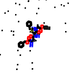 C[C@H](NC(=O)OCc1ccccc1)C(=O)N[C@@H](CSCc1ccccc1)C(=O)N[C@@H](C)C(=O)OC(C)(C)C